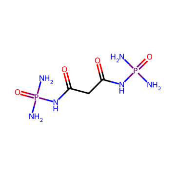 NP(N)(=O)NC(=O)CC(=O)NP(N)(N)=O